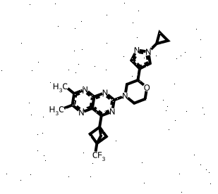 Cc1nc2nc(N3CCOC(c4cnn(C5CC5)c4)C3)nc(C34CC(C(F)(F)F)(C3)C4)c2nc1C